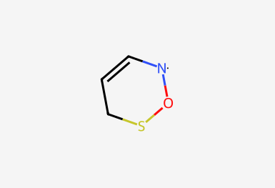 C1=C[N]OSC1